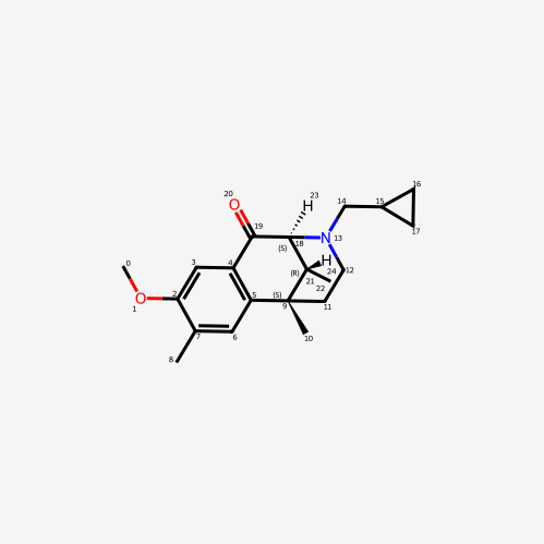 COc1cc2c(cc1C)[C@@]1(C)CCN(CC3CC3)[C@H](C2=O)[C@@H]1C